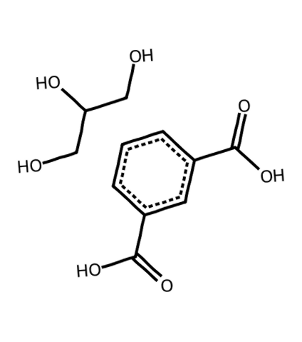 O=C(O)c1cccc(C(=O)O)c1.OCC(O)CO